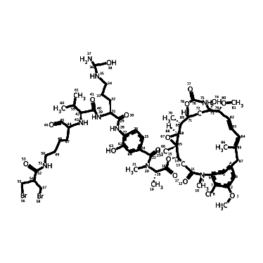 COc1cc2cc(c1Cl)N(C)C(=O)C[C@H](OC(=O)[C@H](C)N(C)C(=O)c1ccc(NC(=O)[C@H](CCCNC(N)O)NC(=O)[C@@H](NC(C=O)CCCCNC(=O)C(CBr)CBr)C(C)C)c(O)c1)[C@]1(C)O[C@H]1[C@H](C)[C@@H]1C[C@@](O)(NC(=O)O1)[C@H](OC)/C=C/C=C(\C)C2